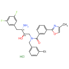 CCc1cccc(CN(C[C@@H](O)[C@@H](N)Cc2cc(F)cc(F)c2)C(=O)c2cccc(-c3nc(C)co3)c2)c1.Cl